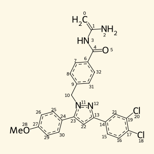 C=C(N)NC(=O)c1ccc(Cn2nc(-c3ccc(Cl)c(Cl)c3)cc2-c2ccc(OC)cc2)cc1